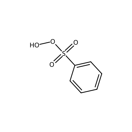 O=S(=O)(OO)c1ccccc1